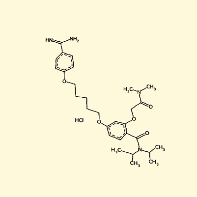 CC(C)N(C(=O)c1ccc(OCCCCCOc2ccc(C(=N)N)cc2)cc1OCC(=O)N(C)C)C(C)C.Cl